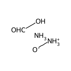 N.O=CO.[NH3+][O-]